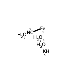 N#[C][Fe].O.O.O.[KH]